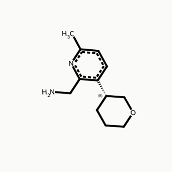 Cc1ccc([C@H]2CCCOC2)c(CN)n1